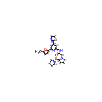 Cc1ccc(-c2nc(NC(=O)CN3CCCC3CN3CCCC3)cc(-c3nccs3)n2)o1